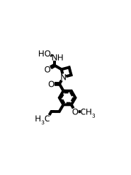 CCCc1cc(C(=O)N2CCC2C(=O)NO)ccc1OC